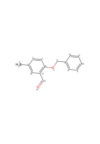 Bc1ccc(OCc2ccccc2)c(C=O)c1